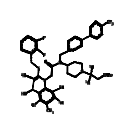 [2H]C1=C(SCc2cccc(F)c2F)N(CC(=O)N(Cc2ccc(-c3ccc(C(F)(F)F)cc3)cc2)C2CCN(C([2H])([2H])COC)CC2)c2c([2H])c([2H])c(C)c([2H])c2C1O